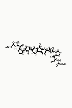 COC(=O)NC(C(=O)N1CCCC1c1ccc(-c2ccc3c(c2)C(=O)c2cc(-c4cnc(C5CCCN5C(=O)C(NC(=O)OC)C(C)C)[nH]4)ccc2-3)[nH]1)C(C)C